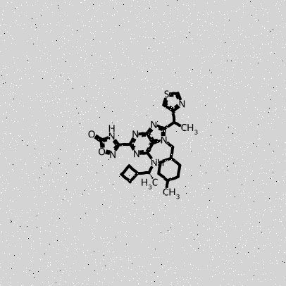 CC1CCC(Cn2c(C(C)c3cscn3)nc3nc(-c4noc(=O)[nH]4)nc(N[C@H](C)C4CCC4)c32)CC1